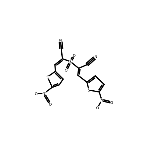 N#CC(=Cc1ccc([N+](=O)[O-])s1)S(=O)(=O)C(C#N)=Cc1ccc([N+](=O)[O-])s1